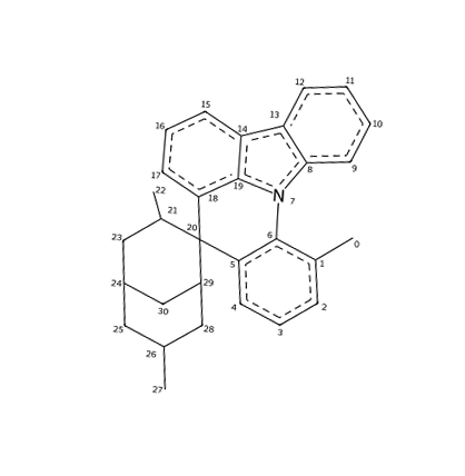 Cc1cccc2c1-n1c3ccccc3c3cccc(c31)C21C(C)CC2CC(C)CC1C2